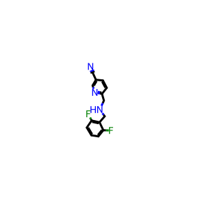 N#Cc1ccc(CNCc2c(F)cccc2F)nc1